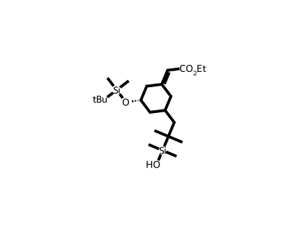 CCOC(=O)/C=C1\CC(CC(C)(C)[Si](C)(C)O)C[C@H](O[Si](C)(C)C(C)(C)C)C1